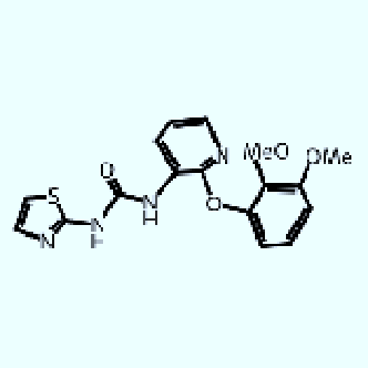 COc1cccc(Oc2ncccc2NC(=O)Nc2nccs2)c1OC